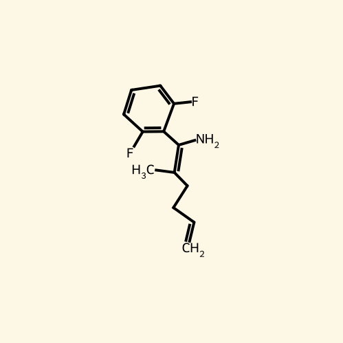 C=CCC/C(C)=C(\N)c1c(F)cccc1F